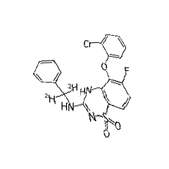 [2H]C([2H])(NC1=NS(=O)(=O)c2ccc(F)c(Oc3ccccc3Cl)c2N1)c1ccccc1